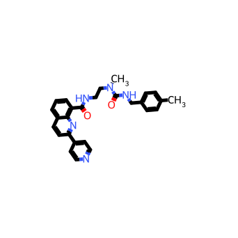 Cc1ccc(CNC(=O)N(C)CCNC(=O)c2cccc3ccc(-c4ccncc4)nc23)cc1